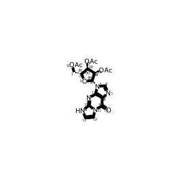 CC(=O)OC[C@H]1O[C@@H](n2cnc3c(=O)n4cc[nH]c4nc32)[C@H](OC(C)=O)[C@@H]1OC(C)=O